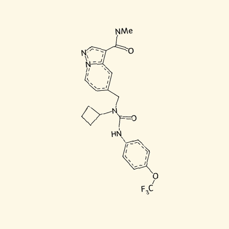 CNC(=O)c1cnn2ccc(CN(C(=O)Nc3ccc(OC(F)(F)F)cc3)C3CCC3)cc12